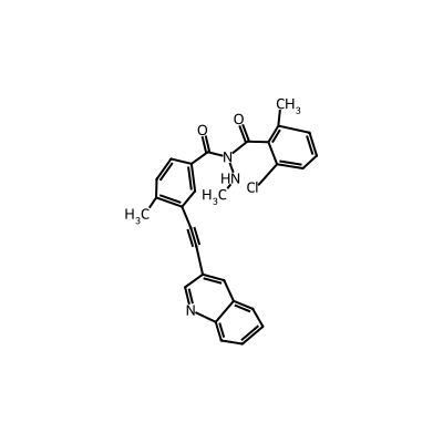 CNN(C(=O)c1ccc(C)c(C#Cc2cnc3ccccc3c2)c1)C(=O)c1c(C)cccc1Cl